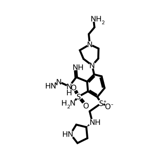 N=NNC(=N)c1c(N2CCN(CCN)CC2)ccc([S+]([O-])CN[C@@H]2CCNC2)c1S(N)(=O)=O